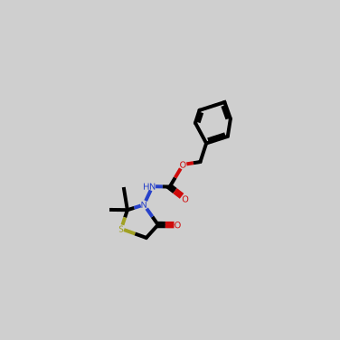 CC1(C)SCC(=O)N1NC(=O)OCc1ccccc1